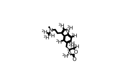 [2H]c1c(C[C@@H]2N([2H])C(=O)OC2([2H])[2H])c([2H])c2c(CCN(C)C([2H])([2H])[2H])c([2H])n([2H])c2c1[2H]